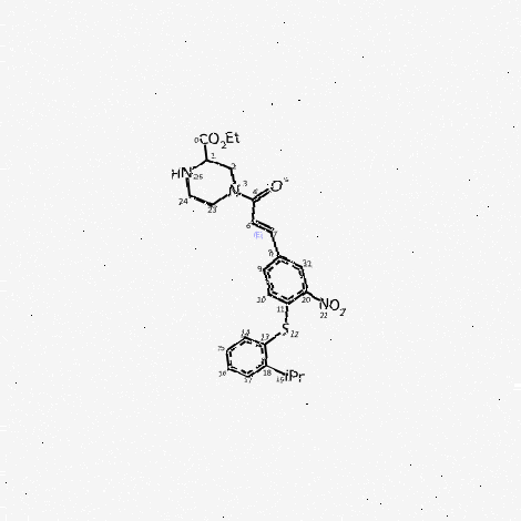 CCOC(=O)C1CN(C(=O)/C=C/c2ccc(Sc3ccccc3C(C)C)c([N+](=O)[O-])c2)CCN1